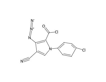 N#Cc1cn(-c2ccc(Cl)cc2)c(C(=O)Cl)c1N=[N+]=[N-]